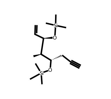 C#CC[C@H](O[Si](C)(C)C)[C@@H](C)[C@@H](C=C)O[Si](C)(C)C